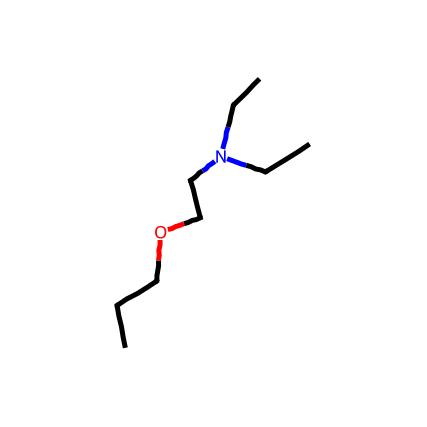 CCCOCCN(CC)CC